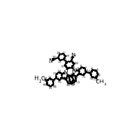 Cc1cccc(-c2ccc3c(c2)c2ccccc2n3-c2cc(C#N)c(-c3cccc(C#N)c3)cc2-n2c3ccccc3c3cc(-c4cccc(C)c4)ccc32)c1